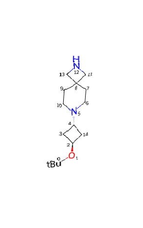 CC(C)(C)O[C@H]1C[C@H](N2CCC3(CC2)CNC3)C1